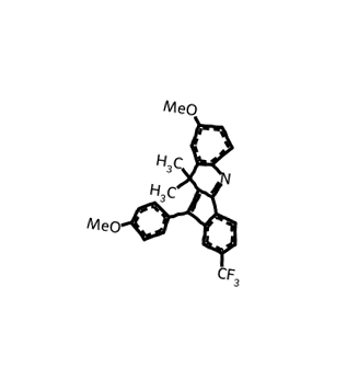 COc1ccc(C2=C3C(=Nc4ccc(OC)cc4C3(C)C)c3ccc(C(F)(F)F)cc32)cc1